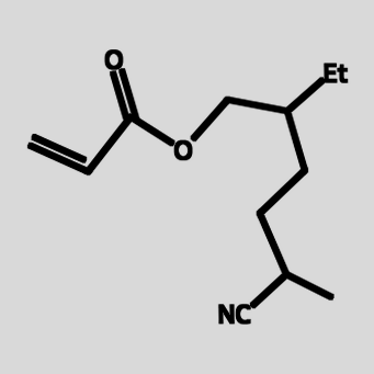 C=CC(=O)OCC(CC)CCC(C)C#N